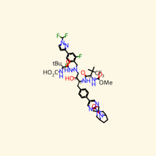 COC(=O)N[C@H](C(=O)N[C@@H](Cc1ccc(-c2cnc(N3CC4CCC(C3)N4C3COC3)nc2)cc1)[C@@H](O)CN(Cc1c(F)cc(-c2ccn(C(F)F)n2)cc1F)NC(=O)[C@@H](NC(=O)O)C(C)(C)C)C(C)(C)C(F)(F)F